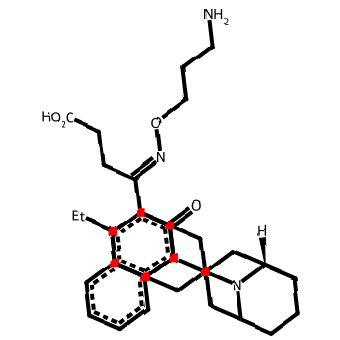 CCC1CC2CC(C1)CC(N1C3CCC[C@H]1CC(n1c(=O)c(/C(CCC(=O)O)=N/OCCCN)nc4ccccc41)C3)C2